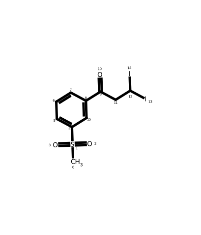 CS(=O)(=O)c1cccc(C(=O)CC(I)I)c1